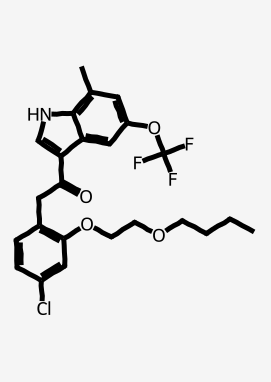 CCCCOCCOc1cc(Cl)ccc1CC(=O)c1c[nH]c2c(C)cc(OC(F)(F)F)cc12